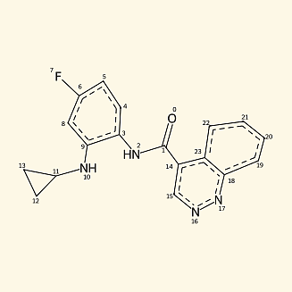 O=C(Nc1ccc(F)cc1NC1CC1)c1cnnc2ccccc12